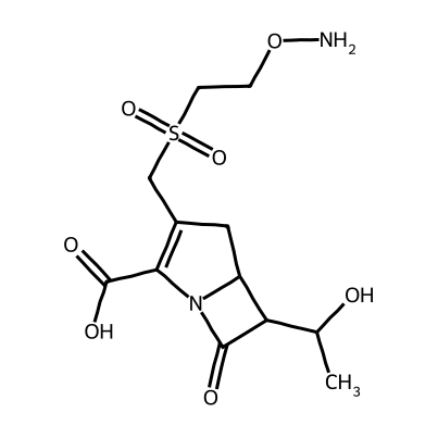 CC(O)C1C(=O)N2C(C(=O)O)=C(CS(=O)(=O)CCON)CC12